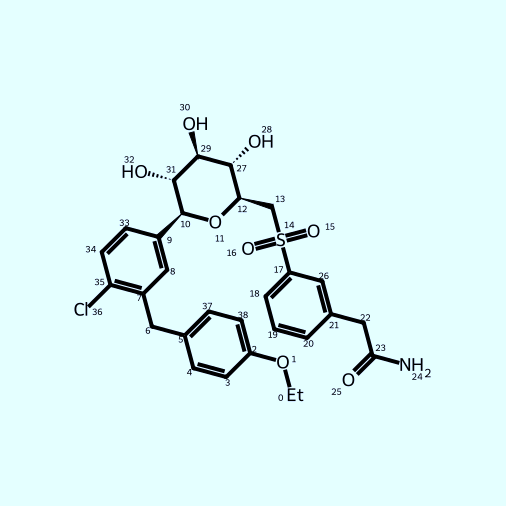 CCOc1ccc(Cc2cc([C@@H]3O[C@H](CS(=O)(=O)c4cccc(CC(N)=O)c4)[C@@H](O)[C@H](O)[C@H]3O)ccc2Cl)cc1